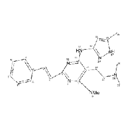 CNc1nc(C=Cc2ccccc2)nc(Nc2cc(C)[nH]n2)c1CCN(C)C